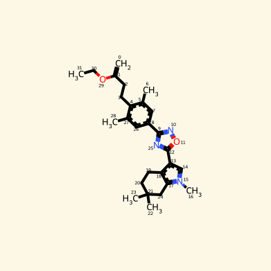 C=C(CCc1c(C)cc(-c2noc(-c3cn(C)c4c3CCC(C)(C)C4)n2)cc1C)OCC